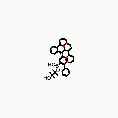 CC(C)(O)C(C)(C)OB(O)c1cc(N(c2ccccc2-c2ccccc2)c2ccccc2-c2ccccc2)ccc1-c1ccccc1